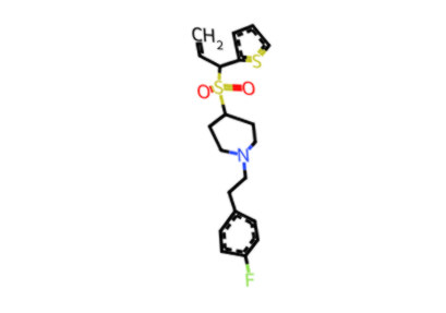 C=CC(c1cccs1)S(=O)(=O)C1CCN(CCc2ccc(F)cc2)CC1